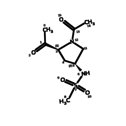 CC(=O)[C@@H]1C[C@@H](NS(C)(=O)=O)CN1C(C)=O